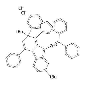 CC(C)(C)c1ccc2c(c1)=[C]([Zr+2]=[C](c1ccccc1)c1ccccc1)C1=C(C3=CC=CC3)C(c3ccccc3)(C(C)(C)C)C=C(c3ccccc3)C=21.[Cl-].[Cl-]